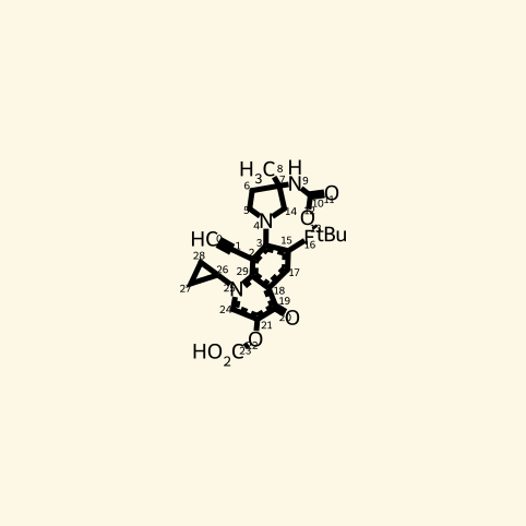 C#Cc1c(N2CCC(C)(NC(=O)OC(C)(C)C)C2)c(F)cc2c(=O)c(OC(=O)O)cn(C3CC3)c12